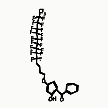 O=C(c1ccccc1)c1ccc(OCCCCC(F)(F)C(F)(F)C(F)(F)C(F)(F)C(F)(F)C(F)(F)C(F)(F)C(F)(F)C(F)(F)C(F)(F)F)cc1O